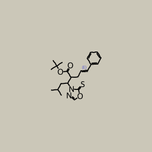 CC(C)CC(C(C/C=C/c1ccccc1)C(=O)OC(C)(C)C)n1ncoc1=S